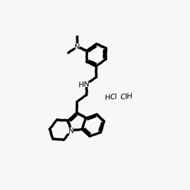 CN(C)c1cccc(CNCCc2c3n(c4ccccc24)CCCC3)c1.Cl.Cl